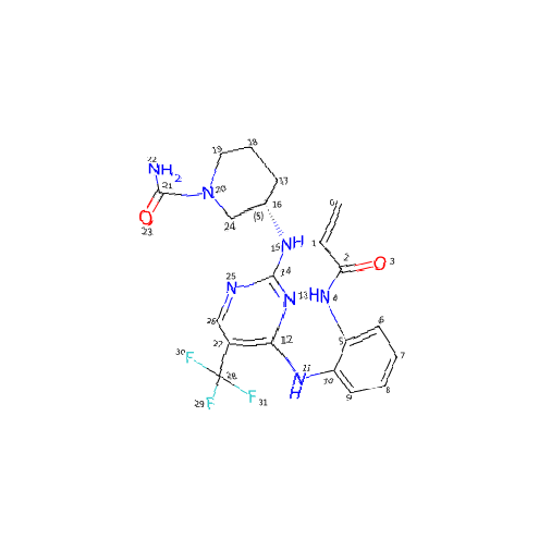 C=CC(=O)Nc1ccccc1Nc1nc(N[C@H]2CCCN(C(N)=O)C2)ncc1C(F)(F)F